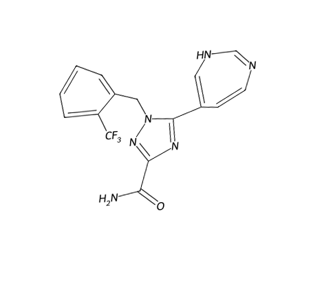 NC(=O)c1nc(C2=CNC=NC=C2)n(Cc2ccccc2C(F)(F)F)n1